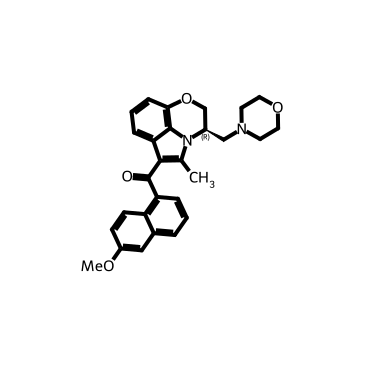 COc1ccc2c(C(=O)c3c(C)n4c5c(cccc35)OC[C@H]4CN3CCOCC3)cccc2c1